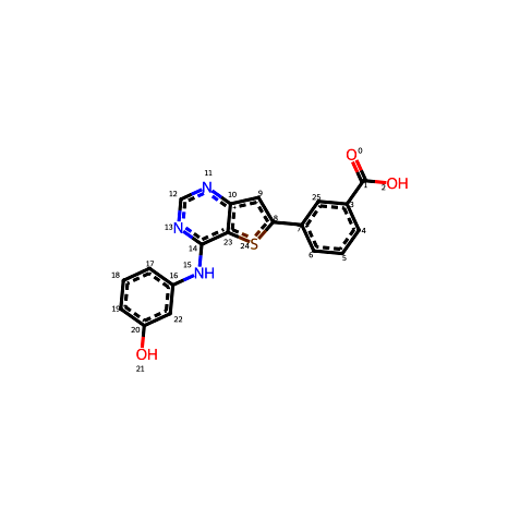 O=C(O)c1cccc(-c2cc3ncnc(Nc4cccc(O)c4)c3s2)c1